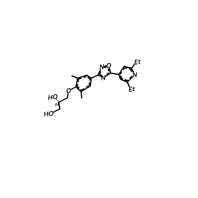 CCc1cc(-c2nc(-c3cc(C)c(OC[C@@H](O)CO)c(C)c3)no2)cc(CC)n1